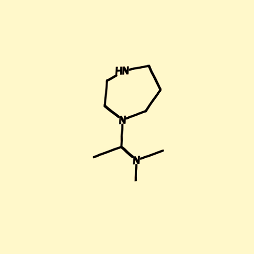 CC(N(C)C)N1CCCNCC1